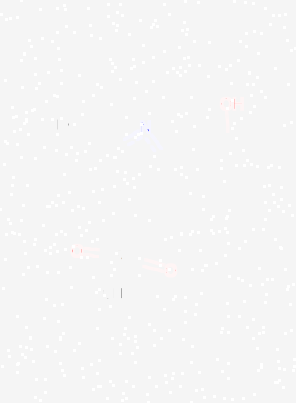 Cc1nc2c(c(S(C)(=O)=O)c1Cl)CCCC2O